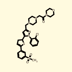 CS(=O)(=O)c1cccc(C2=CCC(c3cc(CN4CCN(CC(=O)N5CCOCC5)CC4)nn3-c3ccccc3Cl)S2)c1